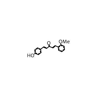 COc1ccccc1C=CC(=O)C=Cc1ccc(O)cc1